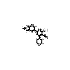 Cn1cc2cc(-c3cc(C4CCOCC4)c(C#N)c(S)n3)cnc2n1